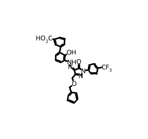 O=C(O)c1cccc(-c2cccc(NN=C3C(=O)N(c4ccc(C(F)(F)F)cc4)N=C3COCc3ccccc3)c2O)c1